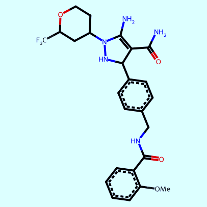 COc1ccccc1C(=O)NCc1ccc(C2NN(C3CCOC(C(F)(F)F)C3)C(N)=C2C(N)=O)cc1